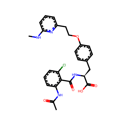 CNc1cccc(CCOc2ccc(C[C@H](NC(=O)c3c(Cl)cccc3NC(C)=O)C(=O)O)cc2)n1